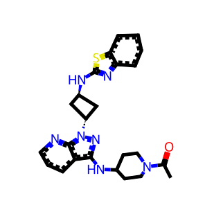 CC(=O)N1CCC(Nc2nn([C@H]3C[C@H](Nc4nc5ccccc5s4)C3)c3ncccc23)CC1